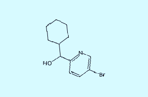 OC(c1ccc(Br)cn1)C1CCCCC1